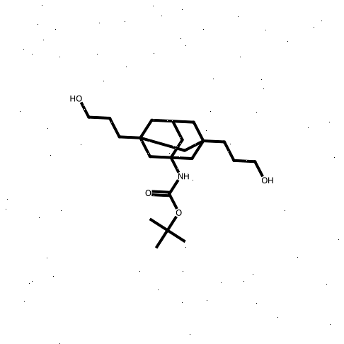 CC(C)(C)OC(=O)NC12CC3CC(CCCO)(CC(CCCO)(C3)C1)C2